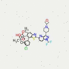 Cc1cc2nc(-c3ccc4c(n3)c(C3CCN(C5COC5)CC3)nn4C(F)F)sc2c(-c2ccc(Cl)cc2)c1[C@H](OC(C)(C)C)C(=O)O